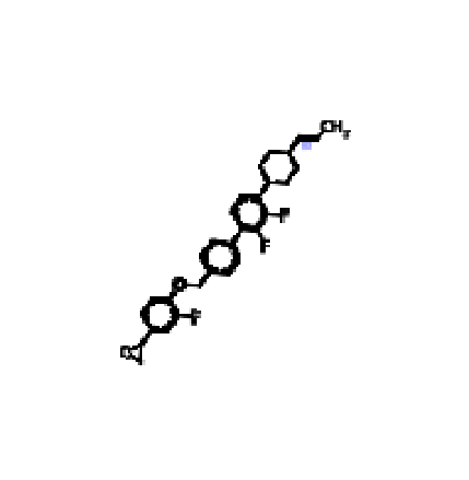 C/C=C/C1CCC(c2ccc(-c3ccc(COc4ccc(C5CO5)cc4F)cc3)c(F)c2F)CC1